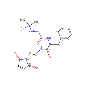 CC(C)(C)NCC(=O)NC(Cc1ccccc1)C(=O)NCCN1C(=O)C=CC1=O